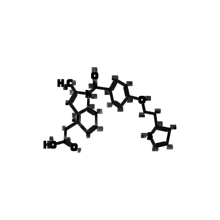 Cc1cc2c(CC(=O)O)cccc2n1C(=O)c1ccc(OCCc2cccs2)cc1